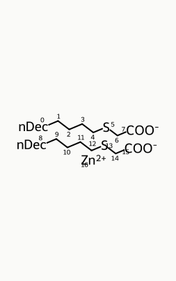 CCCCCCCCCCCCCCSCC(=O)[O-].CCCCCCCCCCCCCCSCC(=O)[O-].[Zn+2]